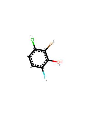 Oc1c(F)ccc(Cl)c1Br